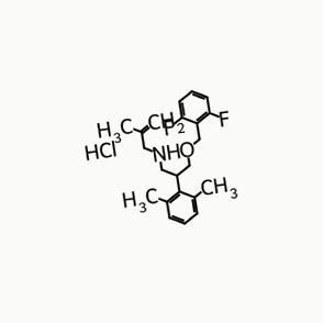 C=C(C)CNCC(COCc1c(F)cccc1F)c1c(C)cccc1C.Cl